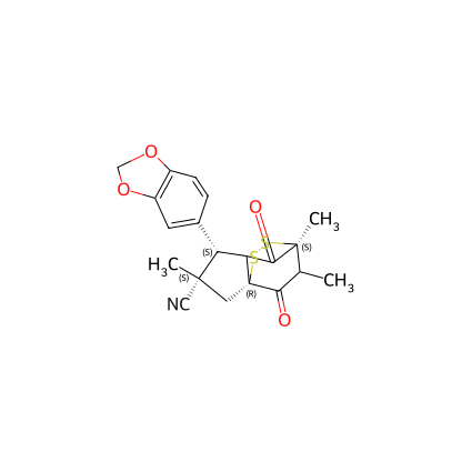 CC1C(=O)[C@@]23C[C@](C)(C#N)[C@H](c4ccc5c(c4)OCO5)C2C(=O)[C@@]1(C)SS3